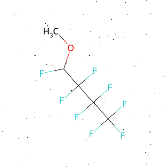 COC(F)C(F)(F)C(F)(F)C(F)(F)F